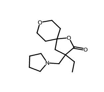 CCC1(CN2CCCC2)CC2(CCOCC2)OC1=O